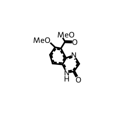 COC(=O)c1c(OC)ccc2[nH]c(=O)cnc12